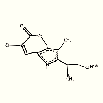 COC[C@@H](C)c1[nH]c2c(c1C)[N]C(=O)C(Cl)=C2